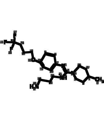 CC1CCN(/C(=N/c2ccc(OCCCC(F)(F)F)cc2)NCCCN)CC1